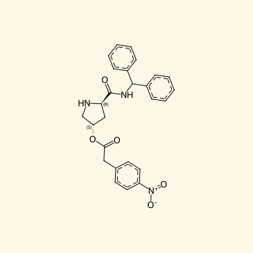 O=C(Cc1ccc([N+](=O)[O-])cc1)O[C@@H]1CN[C@@H](C(=O)NC(c2ccccc2)c2ccccc2)C1